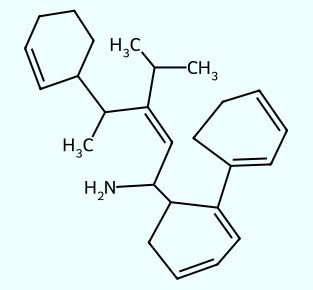 CC(C)/C(=C/C(N)C1CC=CC=C1C1=CC=CCC1)C(C)C1C=CCCC1